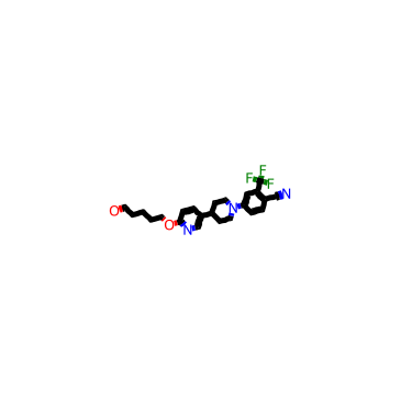 N#Cc1ccc(N2CCC(c3ccc(OCCCCC=O)nc3)CC2)cc1C(F)(F)F